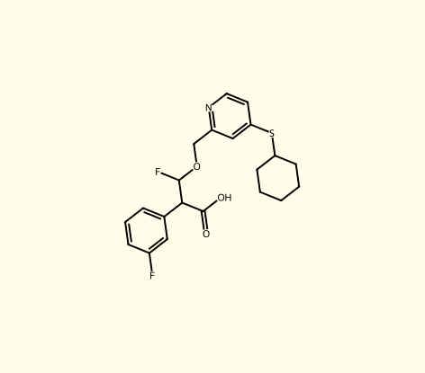 O=C(O)C(c1cccc(F)c1)C(F)OCc1cc(SC2CCCCC2)ccn1